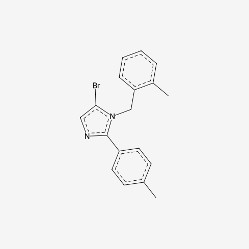 Cc1ccc(-c2ncc(Br)n2Cc2ccccc2C)cc1